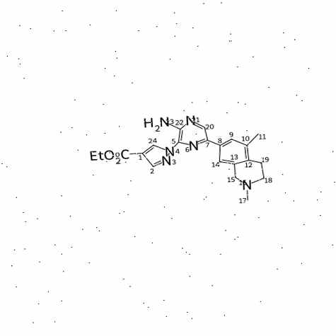 CCOC(=O)c1cnn(-c2nc(-c3cc(C)c4c(c3)CN(C)CC4)cnc2N)c1